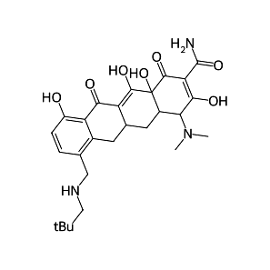 CN(C)C1C(O)=C(C(N)=O)C(=O)C2(O)C(O)=C3C(=O)c4c(O)ccc(CNCC(C)(C)C)c4CC3CC12